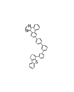 C1=C(c2cccc(-c3cccc(-c4ccc(-c5ccc6c(c5)c5ccccc5c5nccnc65)cc4)c3)c2)c2sc3ccccc3c2CC1